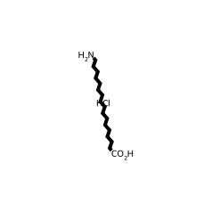 Cl.NCCCCCCCCCCCCCCCCC(=O)O